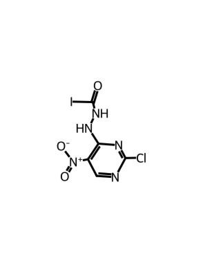 O=C(I)NNc1nc(Cl)ncc1[N+](=O)[O-]